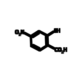 O=C(O)c1ccc([N+](=O)[O-])cc1S